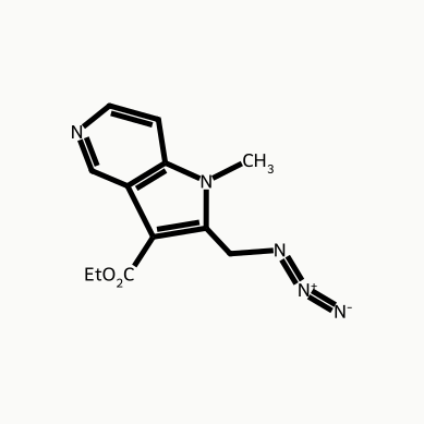 CCOC(=O)c1c(CN=[N+]=[N-])n(C)c2ccncc12